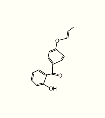 CC=COc1ccc(C(=O)c2ccccc2O)cc1